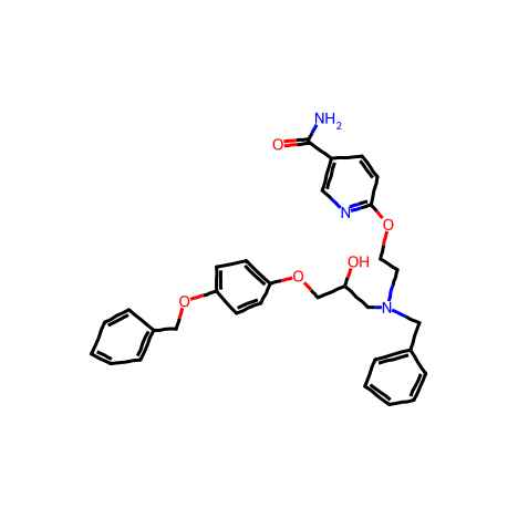 NC(=O)c1ccc(OCCN(Cc2ccccc2)CC(O)COc2ccc(OCc3ccccc3)cc2)nc1